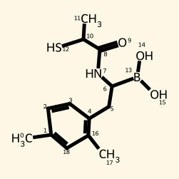 Cc1ccc(CC(NC(=O)C(C)S)B(O)O)c(C)c1